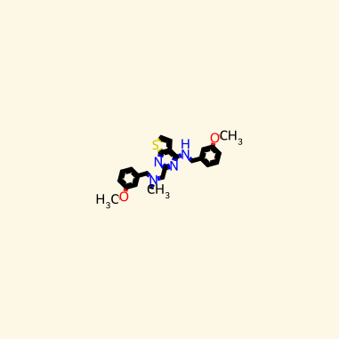 COc1cccc(CNc2nc(CN(C)Cc3cccc(OC)c3)nc3sccc23)c1